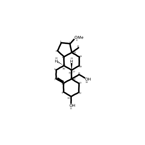 COC1CCC2[C@@H]3CC=C4CC(O)CCC4(CO)[C@H]3CCC12C